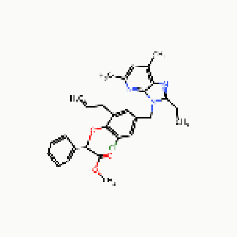 C=CCc1cc(Cn2c(CC)nc3c(C)cc(C)nc32)cc(Cl)c1OC(C(=O)OC)c1ccccc1